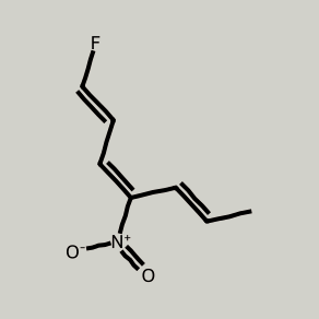 C/C=C/C(=C\C=C\F)[N+](=O)[O-]